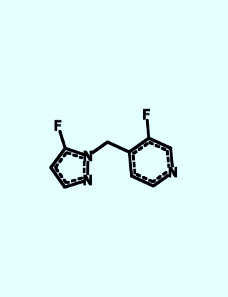 Fc1cnccc1Cn1nccc1F